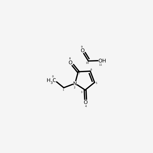 CCN1C(=O)C=CC1=O.O=CO